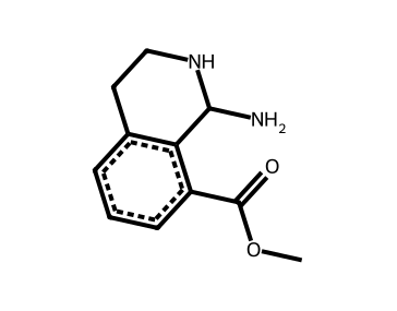 COC(=O)c1cccc2c1C(N)NCC2